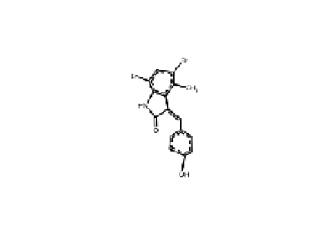 Cc1c(Br)cc(Br)c2c1C(=Cc1ccc(O)cc1)C(=O)N2